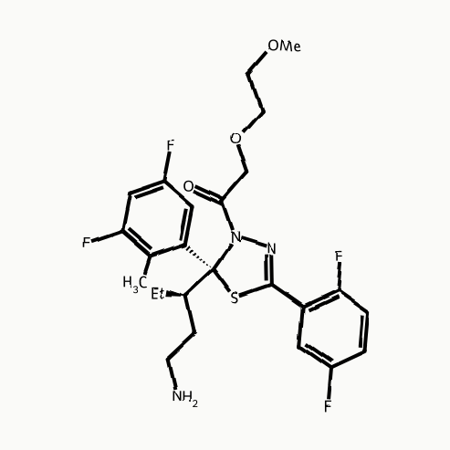 CC[C@H](CCN)[C@]1(c2cc(F)cc(F)c2C)SC(c2cc(F)ccc2F)=NN1C(=O)COCCOC